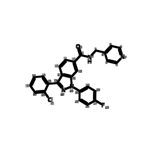 O=C(NCc1ccncc1)c1ccc2c(-c3ccccc3Cl)nn(-c3ccc(F)cc3)c2c1